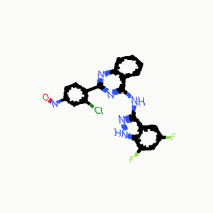 O=Nc1ccc(-c2nc(Nc3n[nH]c4c(F)cc(F)cc34)c3ccccc3n2)c(Cl)c1